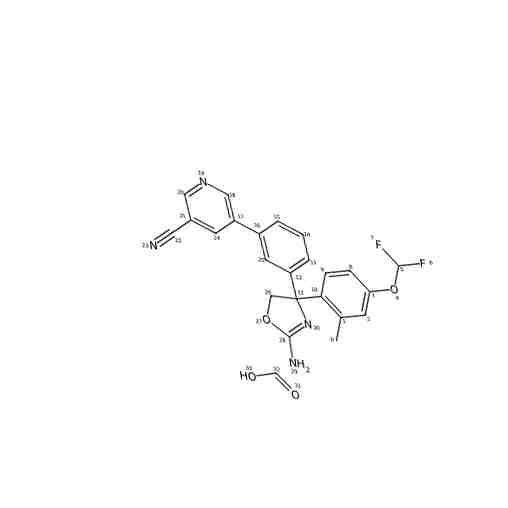 Cc1cc(OC(F)F)ccc1C1(c2cccc(-c3cncc(C#N)c3)c2)COC(N)=N1.O=CO